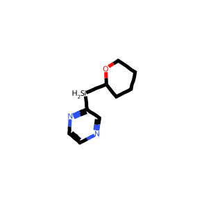 c1cnc([SiH2]C2CCCCO2)cn1